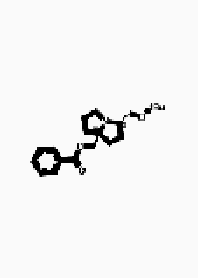 CC(C)(C)OC[C@@H]1CC[C@]2(COC(=O)c3ccccc3)CCCN12